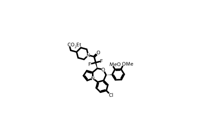 CCOC(=O)CC1CCN(C(=O)C(F)(F)[C@H]2O[C@H](c3cccc(OC)c3OC)c3cc(Cl)ccc3-n3cccc32)CC1